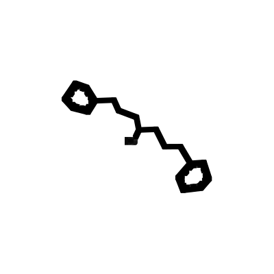 OC(CCCc1ccccc1)CCCc1ccccc1